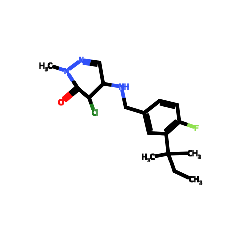 CCC(C)(C)c1cc(CNC2C=NN(C)C(=O)C2Cl)ccc1F